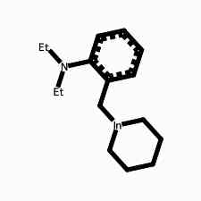 CCN(CC)c1ccccc1[CH2][In]1[CH2]CCC[CH2]1